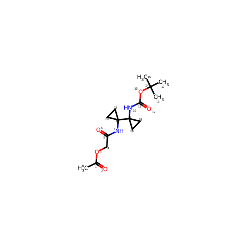 CC(=O)OCC(=O)NC1(C2(NC(=O)OC(C)(C)C)CC2)CC1